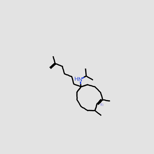 C=C(C)CCCCC1(NC(C)C)CCCCC(C)/C=C(\C)CCC1